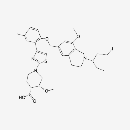 CCC(CCI)N1CCc2cc(COc3ccc(C)cc3-c3csc(N4CC[C@@H](C(=O)O)[C@@H](OC)C4)n3)cc(OC)c2C1